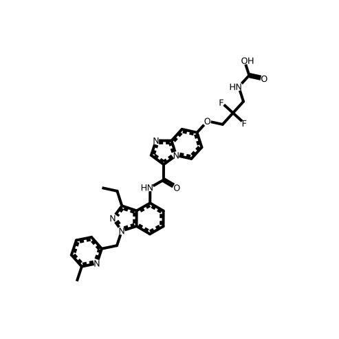 CCc1nn(Cc2cccc(C)n2)c2cccc(NC(=O)c3cnc4cc(OCC(F)(F)CNC(=O)O)ccn34)c12